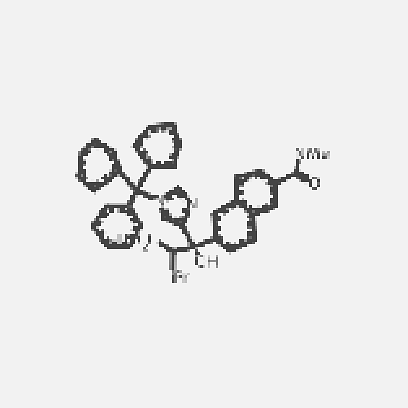 CNC(=O)c1ccc2cc([C@](O)(c3cn(C(c4ccccc4)(c4ccccc4)c4ccccc4)cn3)C(C(=O)O)C(C)C)ccc2c1